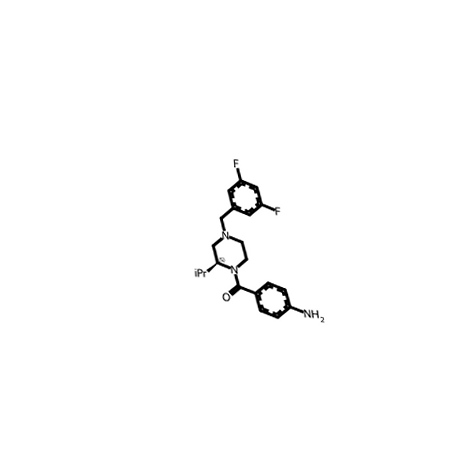 CC(C)[C@H]1CN(Cc2cc(F)cc(F)c2)CCN1C(=O)c1ccc(N)cc1